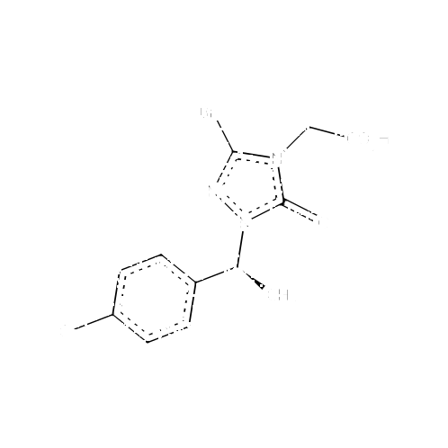 C[C@@H](c1ccc(Cl)cc1)n1nc(Br)n(CC(=O)O)c1=O